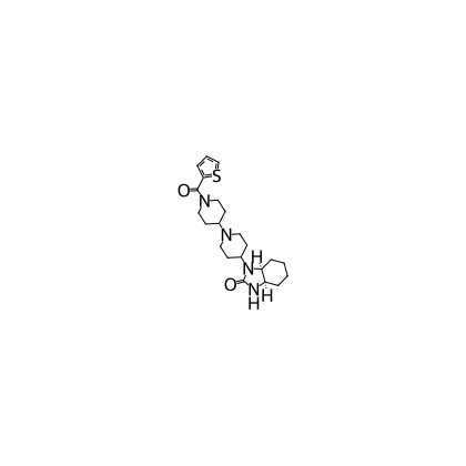 O=C(c1cccs1)N1CCC(N2CCC(N3C(=O)N[C@@H]4CCCC[C@@H]43)CC2)CC1